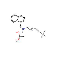 CC(=O)O.CN(C/C=C/C#CC(C)(C)C)Cc1cccc2ccccc12.[H+]